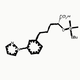 CC(C)(C)[Si](C)(C)O[C@H](CCCc1cccc(-n2cccn2)c1)C(=O)O